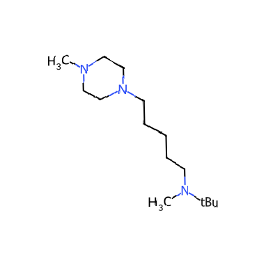 CN1CCN(CCCCCN(C)C(C)(C)C)CC1